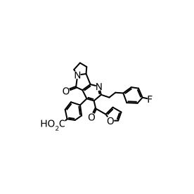 O=C(O)c1ccc(-c2c(C(=O)c3ccco3)c(CCc3ccc(F)cc3)nc3c2C(=O)N2CCCC32)cc1